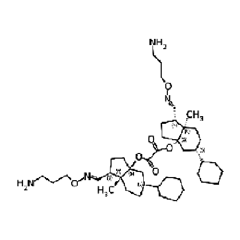 C[C@]12CC[C@H](C3CCCCC3)C[C@@]1(OC(=O)C(=O)O[C@]13CC[C@H](C=NOCCCN)[C@@]1(C)CC[C@H](C1CCCCC1)C3)CC[C@@H]2C=NOCCCN